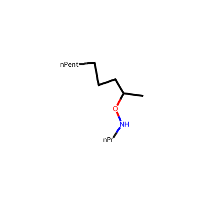 CCCCCCCCC(C)ONCCC